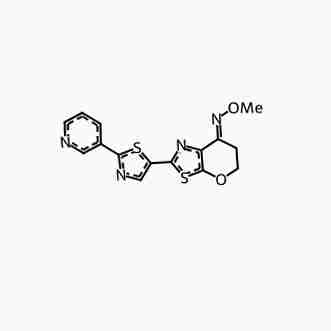 CO/N=C1\CCOc2sc(-c3cnc(-c4cccnc4)s3)nc21